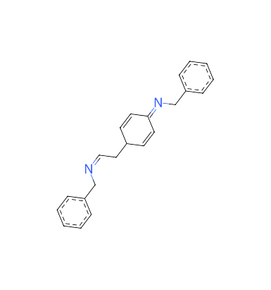 C1=CC(C/C=N\Cc2ccccc2)C=CC1=NCc1ccccc1